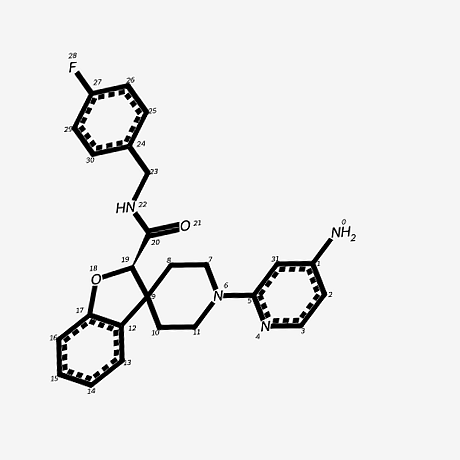 Nc1ccnc(N2CCC3(CC2)c2ccccc2O[C@H]3C(=O)NCc2ccc(F)cc2)c1